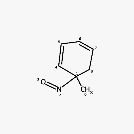 CC1(N=O)C=CC=CC1